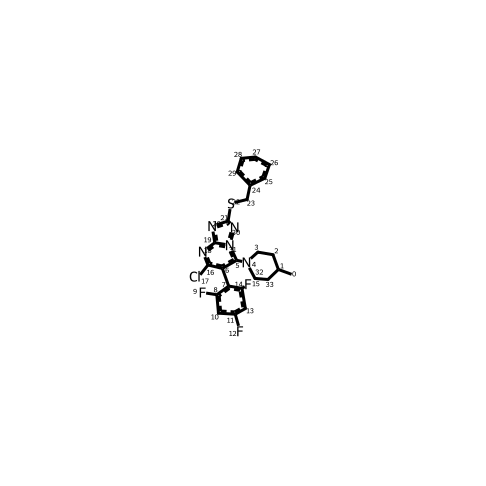 CC1CCN(c2c(-c3c(F)cc(F)cc3F)c(Cl)nc3nc(SCc4ccccc4)nn23)CC1